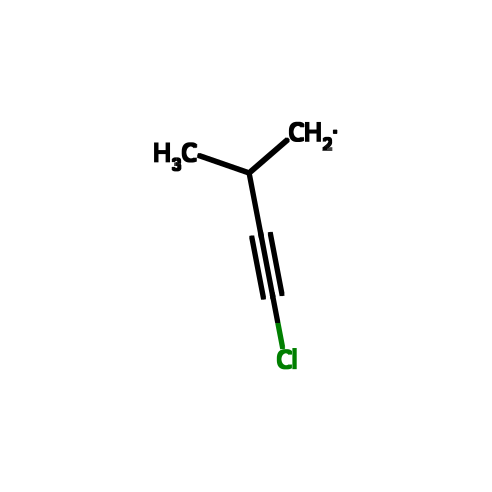 [CH2]C(C)C#CCl